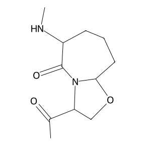 CNC1CCCC2OCC(C(C)=O)N2C1=O